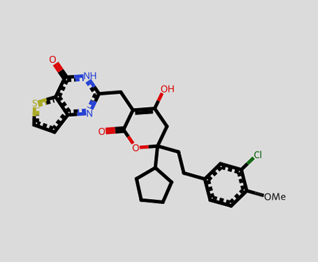 COc1ccc(CCC2(C3CCCC3)CC(O)=C(Cc3nc4ccsc4c(=O)[nH]3)C(=O)O2)cc1Cl